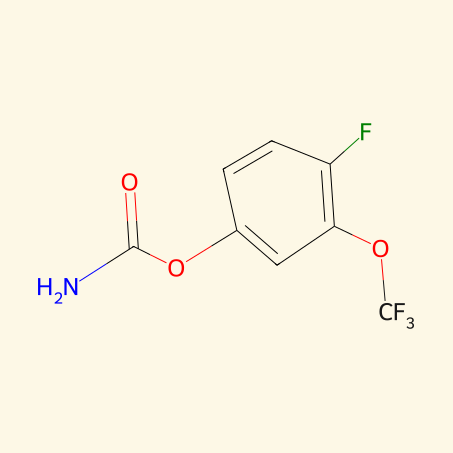 NC(=O)Oc1ccc(F)c(OC(F)(F)F)c1